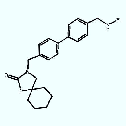 CCNCc1ccc(-c2ccc(CN3CC4(CCCCC4)OC3=O)cc2)cc1